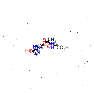 CC(C(=O)NCCC(=O)O)C(=O)OCCn1cnc2c(O)ncnc21